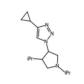 CC(C)C1CN(C(C)C)CC1n1cc(C2CC2)nn1